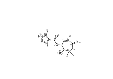 CC1=CC(OC(=O)c2nc[nH]c2C)C(O)C(C)(C)CC1=O